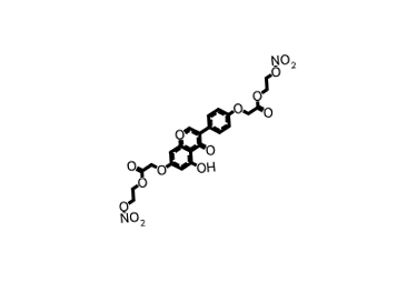 O=C(COc1ccc(-c2coc3cc(OCC(=O)OCCO[N+](=O)[O-])cc(O)c3c2=O)cc1)OCCO[N+](=O)[O-]